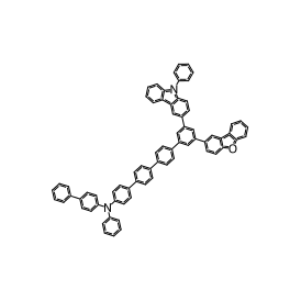 c1ccc(-c2ccc(N(c3ccccc3)c3ccc(-c4ccc(-c5ccc(-c6cc(-c7ccc8oc9ccccc9c8c7)cc(-c7ccc8c(c7)c7ccccc7n8-c7ccccc7)c6)cc5)cc4)cc3)cc2)cc1